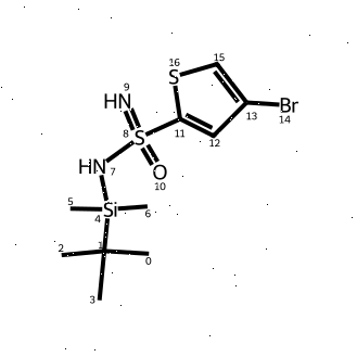 CC(C)(C)[Si](C)(C)NS(=N)(=O)c1cc(Br)cs1